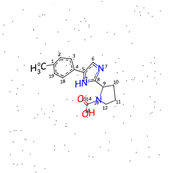 Cc1ccc(-c2cnc(C3CCCN3C(=O)O)[nH]2)cc1